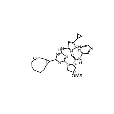 CO[C@H]1C[C@@H](C(=O)Nc2cnccn2)N(c2nc(Nc3cc(C4CC4)[nH]n3)nc(C3C4CCCCCOCC43)n2)C1